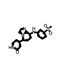 CS(=O)(=O)c1cccc(Nc2ccc(-c3cc[nH]c(=O)c3)n3ccnc23)c1